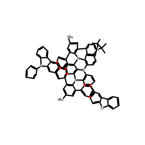 CC(C)(C)c1cc(-c2ccccc2)c(N2c3cc(-c4ccc5oc6ccccc6c5c4)ccc3B3c4ccc(N5C(C)(C)C5(C)C)cc4N(c4c(-c5ccccc5)cc(C(C)(C)C)cc4-c4ccccc4)c4cc(-c5ccc6c(c5)c5ccccc5n6-c5ccccc5)cc2c43)c(-c2ccccc2)c1